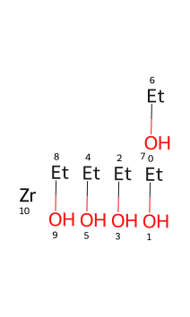 CCO.CCO.CCO.CCO.CCO.[Zr]